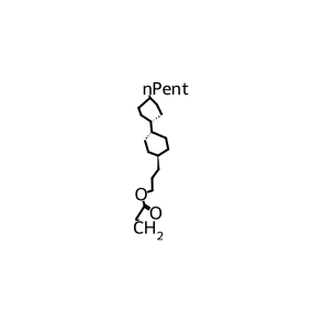 C=CC(=O)OCCC[C@H]1CC[C@H]([C@H]2CC[C@H](CCCCC)CC2)CC1